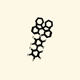 Cc1cccc2c1C(C1CCCCC1)(C1CCCCC1)c1c(C)cccc1N2c1c(F)c(F)c(-c2c(F)c(F)c(F)c(F)c2F)c(F)c1F